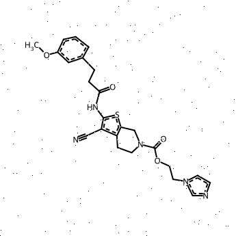 COc1cccc(CCC(=O)Nc2sc3c(c2C#N)CCN(C(=O)OCCn2ccnc2)C3)c1